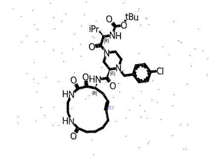 CC(C)[C@@H](NC(=O)OC(C)(C)C)C(=O)N1CCN(Cc2ccc(Cl)cc2)[C@@H](C(=O)N[C@@H]2C/C=C/CCCCC(=O)NCCNC(=O)C2=O)C1